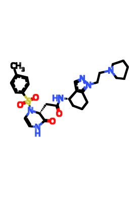 Cc1ccc(S(=O)(=O)N2C=CNC(=O)[C@H]2CC(=O)N[C@H]2CCCc3c2cnn3CCN2CCCCC2)cc1